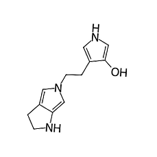 Oc1c[nH]cc1CCn1cc2c(c1)NCC2